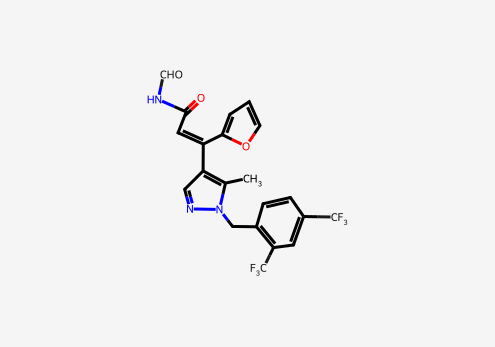 Cc1c(C(=CC(=O)NC=O)c2ccco2)cnn1Cc1ccc(C(F)(F)F)cc1C(F)(F)F